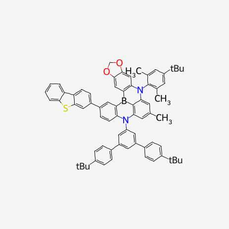 Cc1cc2c3c(c1)N(c1c(C)cc(C(C)(C)C)cc1C)c1cc4c(cc1B3c1cc(-c3ccc5c(c3)sc3ccccc35)ccc1N2c1cc(-c2ccc(C(C)(C)C)cc2)cc(-c2ccc(C(C)(C)C)cc2)c1)OCO4